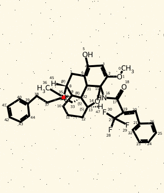 COC1=CC(O)=C2C[C@@H]3[C@@H]4CCC[C@@H]5OC1(NC(=O)C(=Cc1ccccc1)C(F)(F)F)C2[C@@]54CC[N+]3(C)CCc1ccccc1